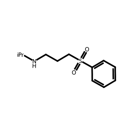 CC(C)NCCCS(=O)(=O)c1ccccc1